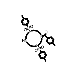 Cc1ccc(C(=O)N2CCCN(S(=O)(=O)c3ccc(C)cc3)CCNCCCN(S(=O)(=O)c3ccc(C)cc3)CC2)cc1